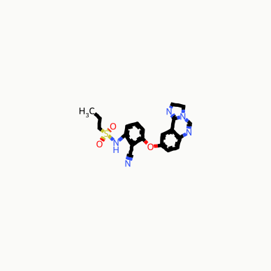 CCCS(=O)(=O)Nc1cccc(Oc2ccc3c(c2)C2=NCCN2C=N3)c1C#N